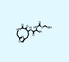 CC(C)C(NC(=O)OCC(C)(C)C)C(=O)NC1CCc2coc(n2)CCNC(=O)C1=O